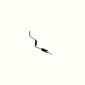 CCC#C/C=C/COC(C)=O